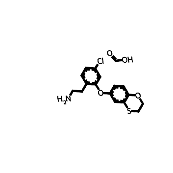 NCCc1ccc(Cl)cc1Oc1ccc2c(c1)SCCO2.O=CO